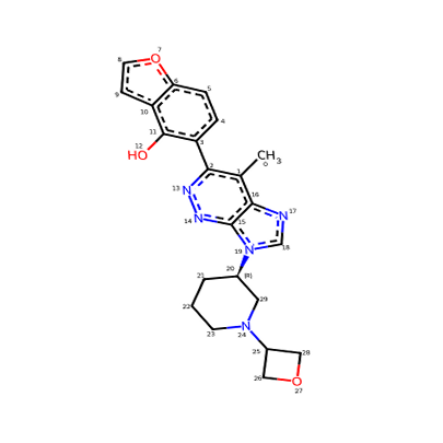 Cc1c(-c2ccc3occc3c2O)nnc2c1ncn2[C@@H]1CCCN(C2COC2)C1